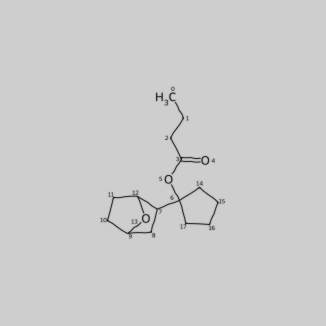 CCCC(=O)OC1(C2CC3CCC2O3)CCCC1